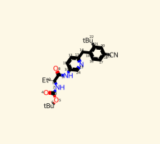 CC[C@@H](NC(=O)OC(C)(C)C)C(=O)Nc1ccc(Cc2ccc(C#N)cc2C(C)(C)C)nc1